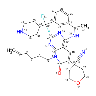 C=CCCCCn1c(=O)c(C2(C#N)CCOCC2)cc2c(NC(C)c3cccc(C(F)(F)C4CCNCC4)c3)ncnc21